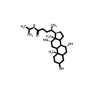 CC(C)NC(=O)CC[C@@H](C)[C@H]1CCC2C3C(C[C@H](O)[C@@]21C)[C@@]1(C)CCC(O)CC1C[C@H]3O